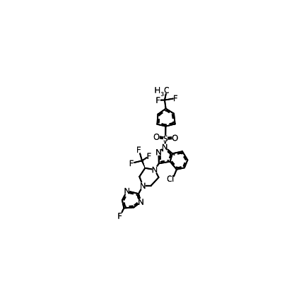 CC(F)(F)c1ccc(S(=O)(=O)n2nc(N3CCN(c4ncc(F)cn4)C[C@H]3C(F)(F)F)c3c(Cl)cccc32)cc1